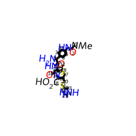 CNC(=O)Nc1ccc(C(N)C(=O)NC2C(=O)N3C(C(=O)O)=C(CSc4c[nH]nn4)CS[C@H]23)cc1